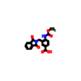 COC(=O)Nc1ccc(C(=O)O)cc1CN1C(=O)c2ccccc2C1=O